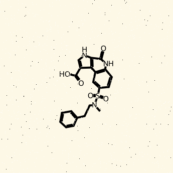 CN(CCc1ccccc1)S(=O)(=O)c1ccc2[nH]c(=O)c3[nH]cc(C(=O)O)c3c2c1